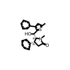 Cc1cc(-c2ccccc2)c(C(O)[C@H]2[C@@H](c3ccccc3)CC(=O)N2C)s1